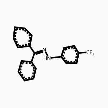 FC(F)(F)c1ccc(NN=C(c2ccccc2)c2ccccc2)cc1